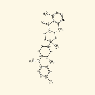 Cc1ccnc(C)c1C(=O)N1CCC(C)(N2CCN(C(C)c3ccc(C(F)(F)F)cc3)[C@@H](C)C2)CC1